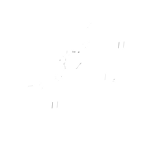 CCCC/C(C(=O)OCC)=C(\CCCC)C(=O)OCC.[SnH4]